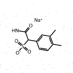 Cc1ccc(C(C([NH])=O)S(=O)(=O)[O-])cc1C.[Na+]